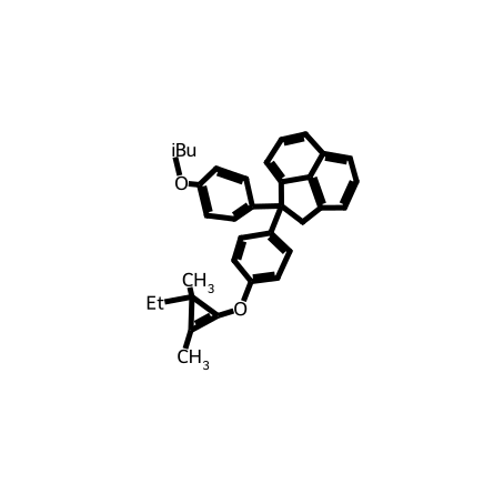 CCC(C)Oc1ccc(C2(c3ccc(OC4=C(C)C4(C)CC)cc3)Cc3cccc4cccc2c34)cc1